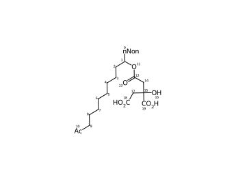 CCCCCCCCCC(CCCCCCCCC(C)=O)OC(=O)CC(O)(CC(=O)O)C(=O)O